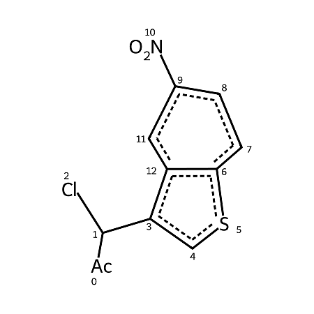 CC(=O)C(Cl)c1csc2ccc([N+](=O)[O-])cc12